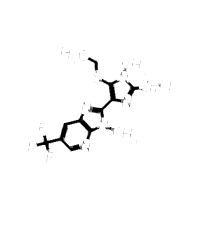 CCSc1c(-c2nc3cc(C(F)(F)F)cnc3n2C)n[c]([Zn][Cl])n1C